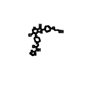 O=C(CN1CCN(c2c(Cl)cnc3[nH]c(-c4ccc(OCCO)cc4)nc23)CC1)Nc1nccs1